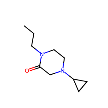 CCCN1CCN(C2CC2)CC1=O